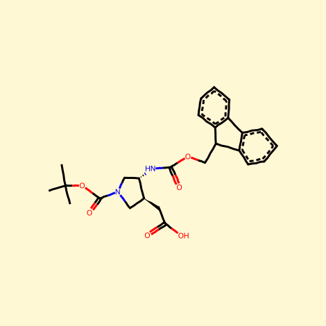 CC(C)(C)OC(=O)N1C[C@H](CC(=O)O)[C@@H](NC(=O)OCC2c3ccccc3-c3ccccc32)C1